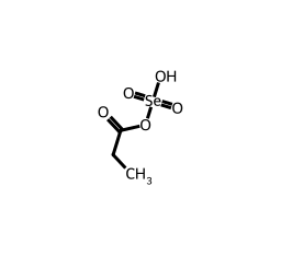 CCC(=O)O[Se](=O)(=O)O